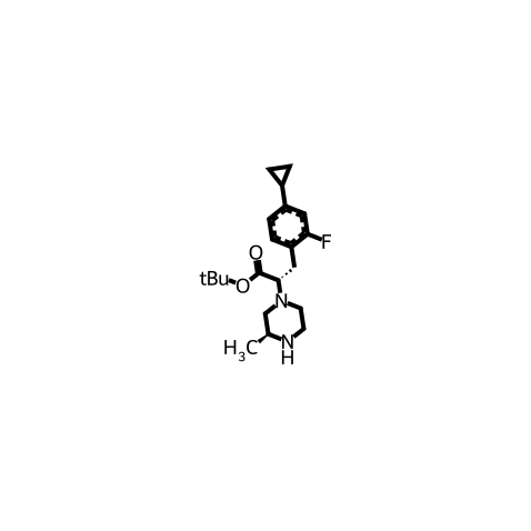 C[C@H]1CN([C@@H](Cc2ccc(C3CC3)cc2F)C(=O)OC(C)(C)C)CCN1